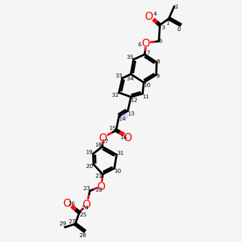 C=C(C)C(=O)COc1ccc2cc(/C=C/C(=O)Oc3ccc(OCOC(=O)C(=C)C)cc3)ccc2c1